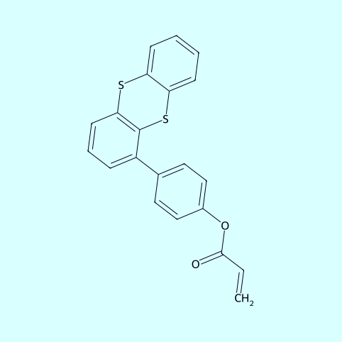 C=CC(=O)Oc1ccc(-c2cccc3c2Sc2ccccc2S3)cc1